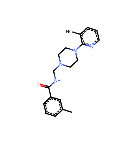 Cc1cccc(C(=O)NCN2CCN(c3ncccc3C#N)CC2)c1